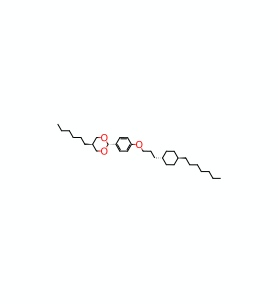 CCCCCCC[C@H]1CC[C@H](CCCOc2ccc([C@H]3OC[C@H](CCCCCC)CO3)cc2)CC1